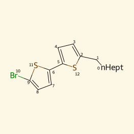 CCCCCCCCc1ccc(-c2ccc(Br)s2)s1